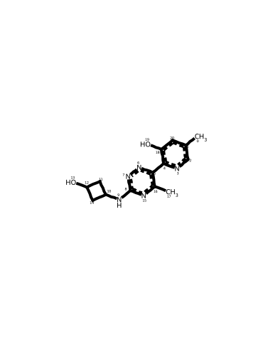 Cc1cnc(-c2nnc(NC3CC(O)C3)nc2C)c(O)c1